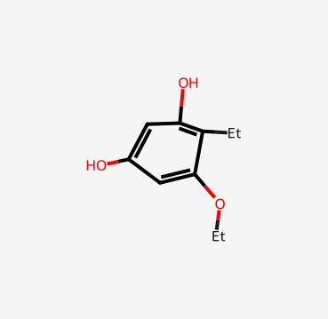 CCOc1cc(O)cc(O)c1CC